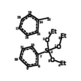 CCO[Si](OCC)(OCC)c1ccccc1.Cc1ccccc1